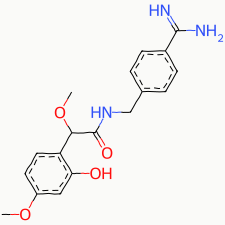 COc1ccc(C(OC)C(=O)NCc2ccc(C(=N)N)cc2)c(O)c1